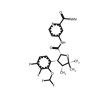 CNC(=O)c1cc(NC(=O)[C@@H]2O[C@](C)(C(F)(F)F)[C@H](C)[C@@H]2c2ccc(F)c(F)c2OC(F)F)ccn1